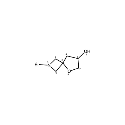 CCN1CC2(CC(O)CO2)C1